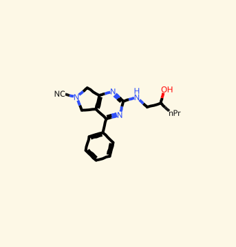 CCCC(O)CNc1nc2c(c(-c3ccccc3)n1)CN(C#N)C2